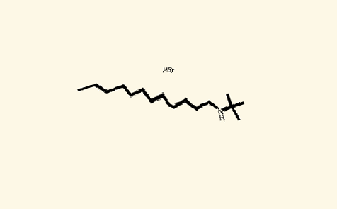 Br.CCCCCCCCCCCCNC(C)(C)C